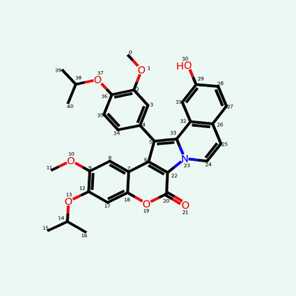 COc1cc(-c2c3c4cc(OC)c(OC(C)C)cc4oc(=O)c3n3ccc4ccc(O)cc4c23)ccc1OC(C)C